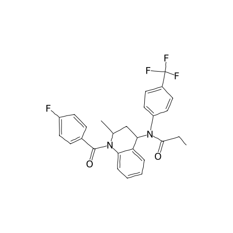 CCC(=O)N(c1ccc(C(F)(F)F)cc1)C1CC(C)N(C(=O)c2ccc(F)cc2)c2ccccc21